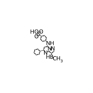 CBc1cnn2c(Nc3ccc(S(=O)(=O)O)cc3)cc(-c3ccccc3)nc12